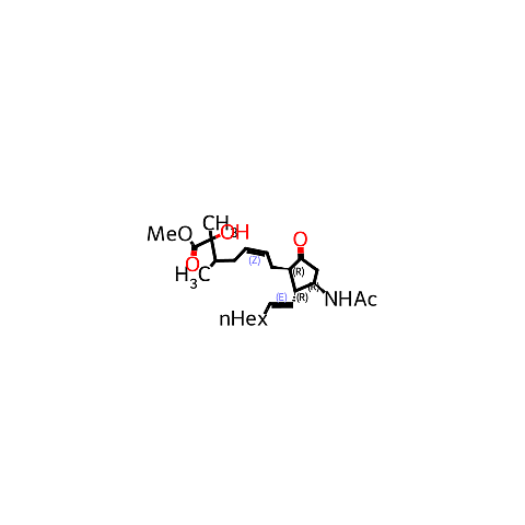 CCCCCC/C=C/[C@H]1[C@H](NC(C)=O)CC(=O)[C@@H]1C/C=C\CC(C)C(C)(O)C(=O)OC